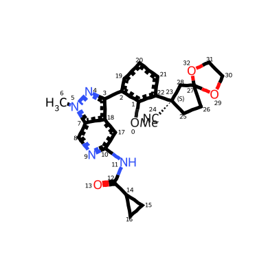 COc1c(-c2nn(C)c3cnc(NC(=O)C4CC4)cc23)cccc1[C@]1(C#N)CCC2(C1)OCCO2